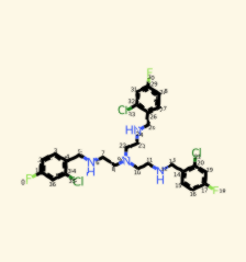 Fc1ccc(CNCCN(CCNCc2ccc(F)cc2Cl)CCNCc2ccc(F)cc2Cl)c(Cl)c1